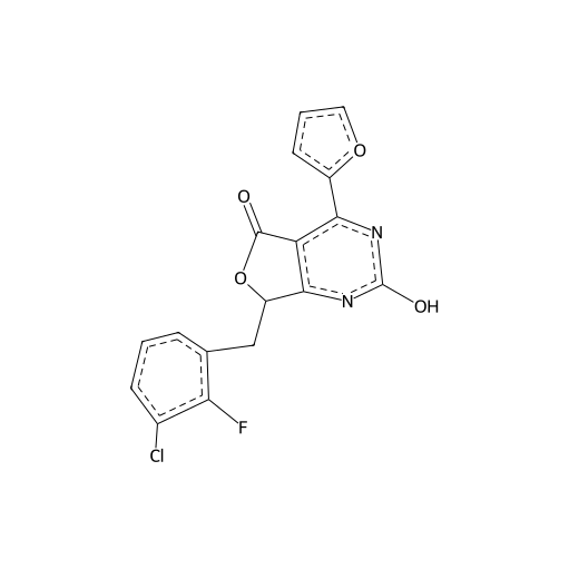 O=C1OC(Cc2cccc(Cl)c2F)c2nc(O)nc(-c3ccco3)c21